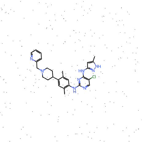 Cc1cc(Nc2nc(Nc3cc(C)c(C4CCN(Cc5ccccn5)CC4)cc3C)ncc2Cl)n[nH]1